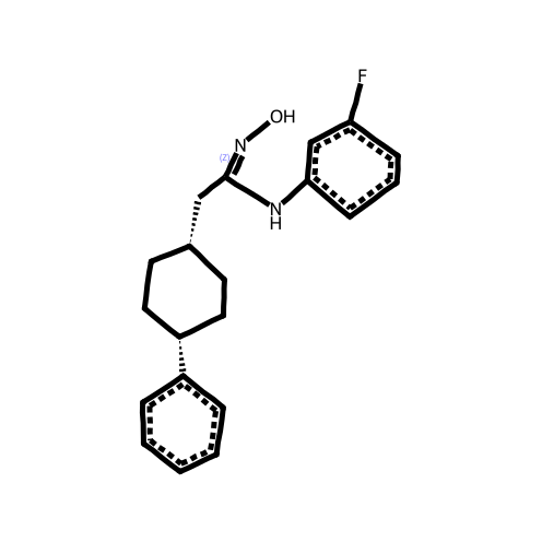 O/N=C(/C[C@H]1CC[C@@H](c2ccccc2)CC1)Nc1cccc(F)c1